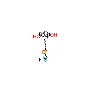 C[C@]12C[C@H](CCCCCCCCC[S+]([O-])CCCC(F)(F)C(F)(F)F)[C@@H]3c4ccc(O)cc4CC[C@H]3[C@@H]1CC[C@@H]2O